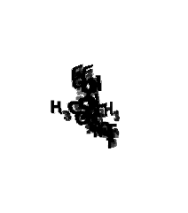 Cc1cc(-c2cncc(OC(F)F)c2)nc2c1C(=O)N(c1ccnc(OCC(F)F)c1)C2C